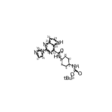 CC(C)(C)OC(=O)NC1CCC(NC(=O)c2nc(-n3ccnc3)nc3cc[nH]c23)CC1